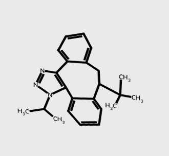 CC(C)n1nnc2c1-c1ccccc1C(C(C)(C)C)Cc1ccccc1-2